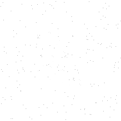 Cc1cnn(C)c1-c1ccc2nc(-c3ccnc4[nH]ccc34)nc(N3CCOCC3)c2n1